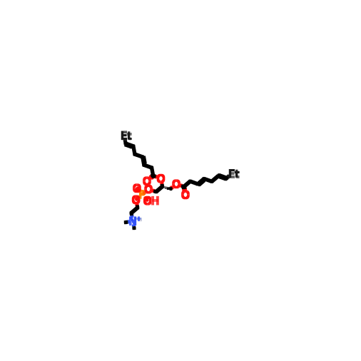 CCC=CCC=CCC(=O)OC[C@H](COP(=O)(O)OCC[N+](C)(C)C)OC(=O)CC=CCC=CCC